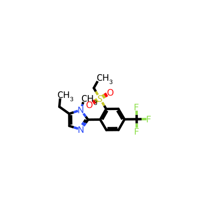 CCc1cnc(-c2ccc(C(F)(F)F)cc2S(=O)(=O)CC)n1C